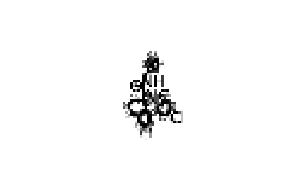 CC1(C)C2CCC(CNC(=O)c3nn(-c4ccc(Cl)cc4Cl)c4c3CCCc3cc(Cl)ccc3-4)C1C2